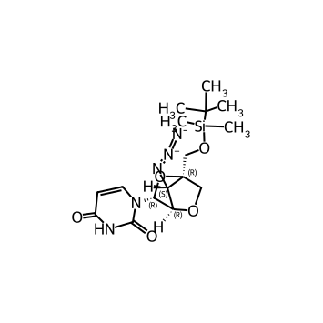 CC(C)(C)[Si](C)(C)OC[C@@]12CO[C@@H]([C@H](n3ccc(=O)[nH]c3=O)O1)[C@@H]2N=[N+]=[N-]